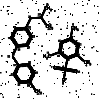 Cc1cc(C)c(S(=O)(=O)[O-])c(C)c1.Cc1ccc([I+]c2ccc(CC(C)C)cc2)cc1